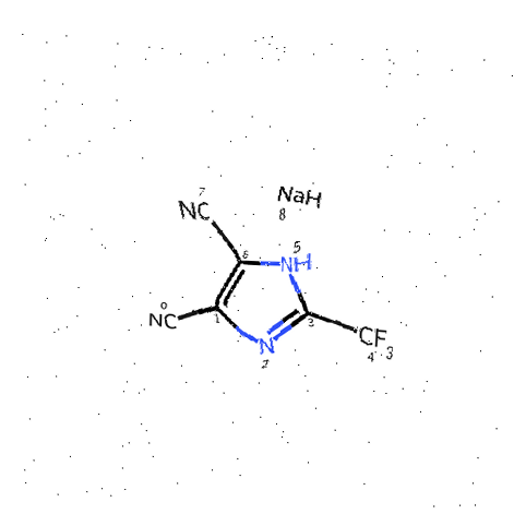 N#Cc1nc(C(F)(F)F)[nH]c1C#N.[NaH]